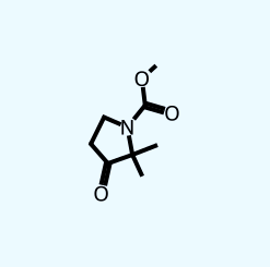 COC(=O)N1CCC(=O)C1(C)C